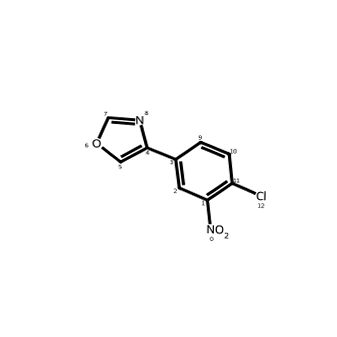 O=[N+]([O-])c1cc(-c2cocn2)ccc1Cl